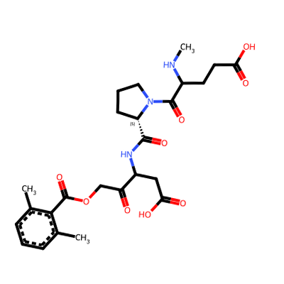 CNC(CCC(=O)O)C(=O)N1CCC[C@H]1C(=O)NC(CC(=O)O)C(=O)COC(=O)c1c(C)cccc1C